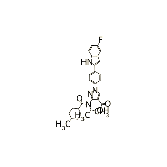 CC1CCC(C(=O)N(c2nn(-c3ccc(-c4cc5cc(F)ccc5[nH]4)cc3)cc2C(=O)O)C(C)C)CC1